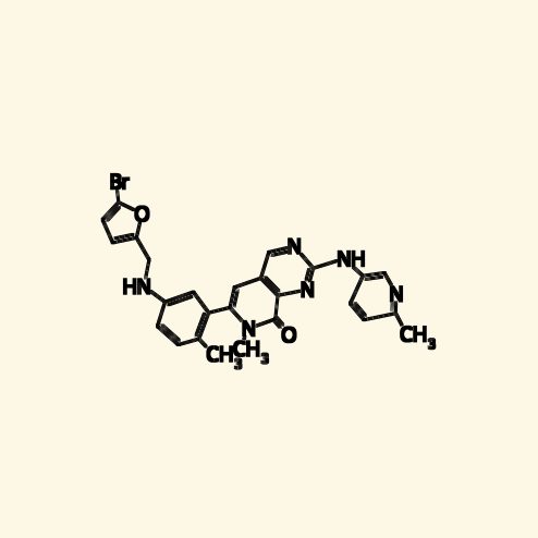 Cc1ccc(Nc2ncc3cc(-c4cc(NCc5ccc(Br)o5)ccc4C)n(C)c(=O)c3n2)cn1